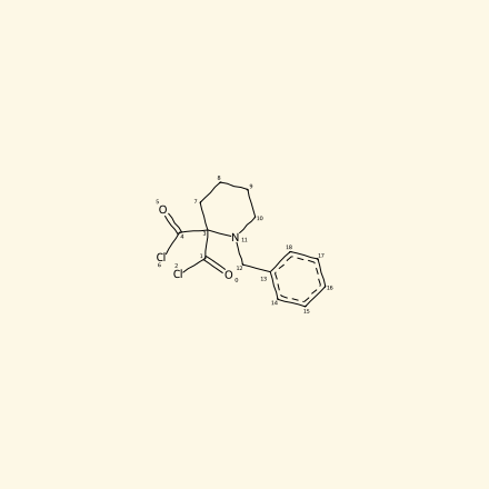 O=C(Cl)C1(C(=O)Cl)CCCCN1Cc1ccccc1